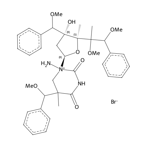 COC(c1ccccc1)C1(C)C[N+](N)([C@H]2C[C@@](O)(C(OC)c3ccccc3)[C@@](C)(C(C)(OC)C(OC)c3ccccc3)O2)C(=O)NC1=O.[Br-]